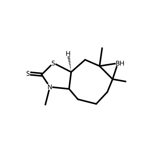 CN1C(=S)S[C@H]2CC3(C)BC3(C)CCCC21